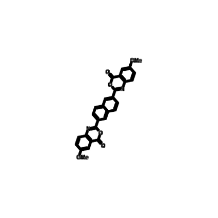 COc1ccc2nc(-c3ccc4cc(-c5nc6ccc(OC)cc6c(=O)o5)ccc4c3)oc(=O)c2c1